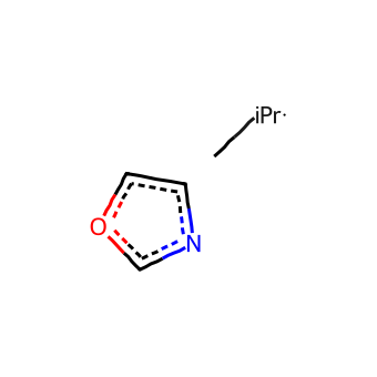 C[C](C)C.c1cocn1